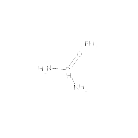 N[PH](N)=O.P